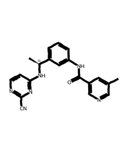 Cc1cncc(C(=O)Nc2cccc([C@H](C)Nc3ccnc(C#N)n3)c2)c1